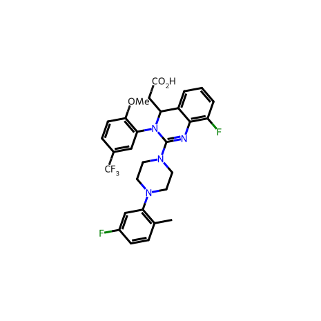 COc1ccc(C(F)(F)F)cc1N1C(N2CCN(c3cc(F)ccc3C)CC2)=Nc2c(F)cccc2C1CC(=O)O